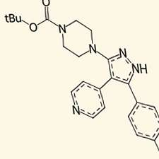 CC(C)(C)OC(=O)N1CCN(c2n[nH]c(-c3ccc(F)cc3)c2-c2ccncc2)CC1